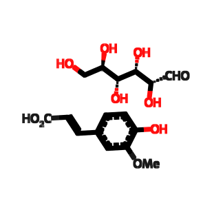 COc1cc(/C=C/C(=O)O)ccc1O.O=C[C@H](O)[C@@H](O)[C@H](O)[C@H](O)CO